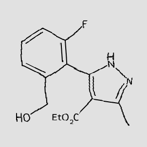 CCOC(=O)c1c(C)n[nH]c1-c1c(F)cccc1CO